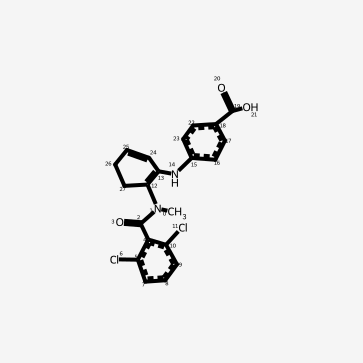 CN(C(=O)c1c(Cl)cccc1Cl)C1=C(Nc2ccc(C(=O)O)cc2)C=CCC1